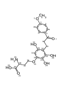 COc1ccc(C(=O)CCc2c(O)cc(OCCC(N)C(=O)O)c(O)c2O)cc1